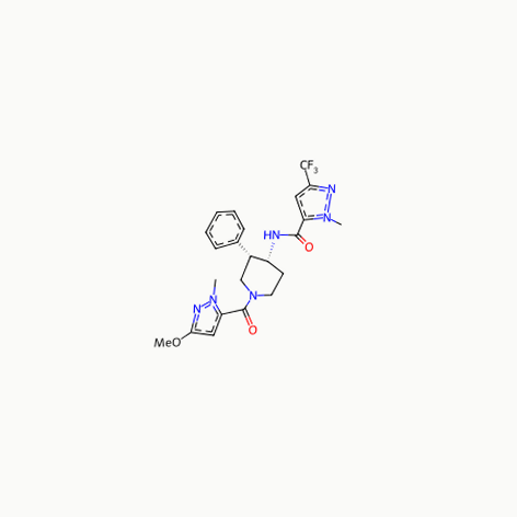 COc1cc(C(=O)N2CC[C@@H](NC(=O)c3cc(C(F)(F)F)nn3C)[C@@H](c3ccccc3)C2)n(C)n1